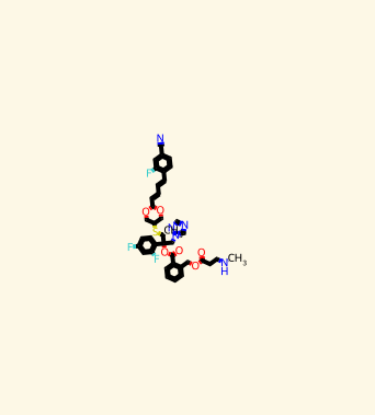 CNCCC(=O)OCc1ccccc1C(=O)OC(Cn1cncn1)(c1ccc(F)cc1F)C(C)SC1COC(C=CC=Cc2ccc(C#N)cc2F)OC1